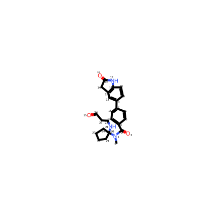 CN(C(=O)c1ccc(-c2ccc3c(c2)CC(=O)N3)cc1)C1(NCCC=O)CCCC1